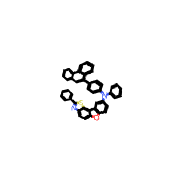 c1ccc(-c2nc3ccc4oc5ccc(N(c6ccccc6)c6ccc(-c7cc8ccccc8c8ccccc78)cc6)cc5c4c3s2)cc1